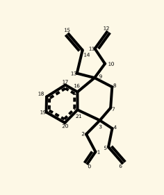 C=CCC1(CC=C)CCC(CC=C)(CC=C)c2ccccc21